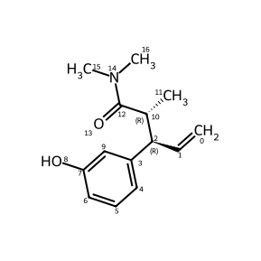 C=C[C@@H](c1cccc(O)c1)[C@@H](C)C(=O)N(C)C